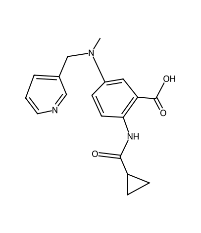 CN(Cc1cccnc1)c1ccc(NC(=O)C2CC2)c(C(=O)O)c1